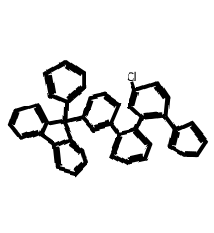 Clc1ccc(-c2ccccc2)c(-c2ccccc2-c2cccc(C3(c4ccccc4)c4ccccc4-c4ccccc43)c2)c1